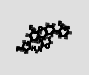 NC1=N[C@]2(CCO1)c1cc(-c3cccnc3F)ccc1Oc1c(F)cc(N3CC[C@@H](F)C3)cc12